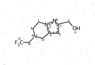 OCc1cc2n(n1)CCN(CC(F)(F)F)C2